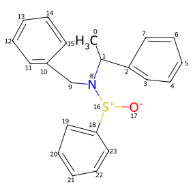 CC(c1ccccc1)N(Cc1ccccc1)[S+]([O-])c1ccccc1